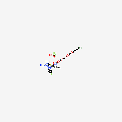 CC(=O)N[C@@H](CSc1c(NCc2ccc(F)cc2)nc(N)[nH]c1=O)C(=O)NCCOCCOCCOCOCCCOCCCCCCCl.O=C(O)C(F)(F)F